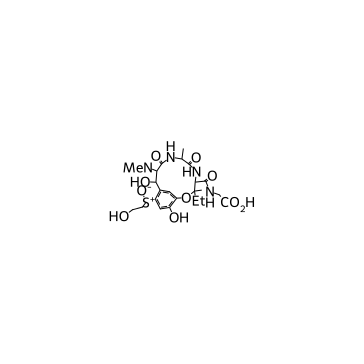 CCC1(C)Oc2cc(c([S+]([O-])CCO)cc2O)C(O)C(NC)C(=O)NC(C)C(=O)NC1C(=O)NCC(=O)O